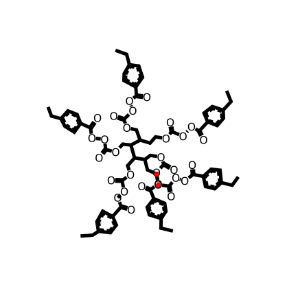 CCc1ccc(C(=O)OOC(=O)OCCC(COC(=O)OOC(=O)c2ccc(CC)cc2)C(COC(=O)OOC(=O)c2ccc(CC)cc2)C(COC(=O)OOC(=O)c2ccc(CC)cc2)C(CCOC(=O)OOC(=O)c2ccc(CC)cc2)COC(=O)OOC(=O)c2ccc(CC)cc2)cc1